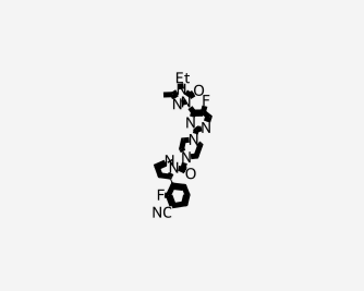 CCn1c(C)nn(-c2nc(N3CCN(C(=O)N4N=CC[C@H]4c4cccc(C#N)c4F)CC3)ncc2F)c1=O